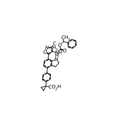 Cc1noc(-c2ccc(-c3ccc(C4(C(=O)O)CC4)cc3)c3c2NCC3)c1NC(=O)OC(C)c1ccccc1